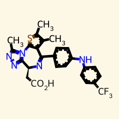 Cc1sc2c(c1C)C(c1ccc(Nc3ccc(C(F)(F)F)cc3)cc1)=N[C@@H](CC(=O)O)c1nnc(C)n1-2